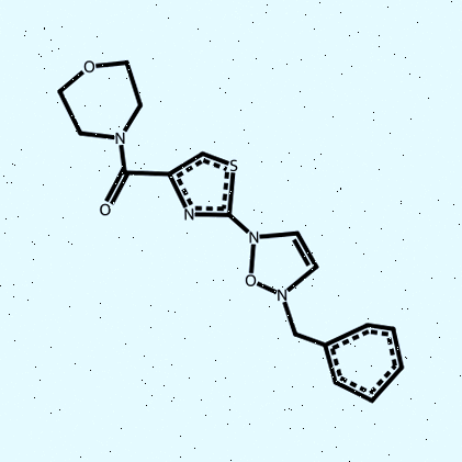 O=C(c1csc(N2C=CN(Cc3ccccc3)O2)n1)N1CCOCC1